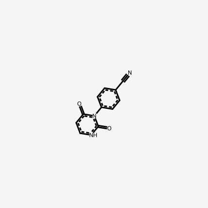 N#Cc1ccc(-n2c(=O)cc[nH]c2=O)cc1